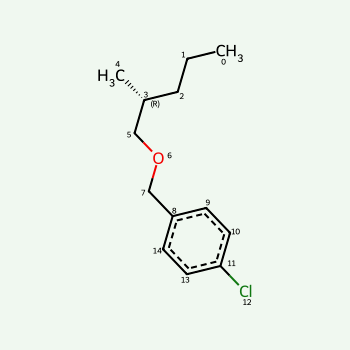 CCC[C@@H](C)COCc1ccc(Cl)cc1